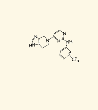 FC(F)(F)c1cccc(Nc2nccc(N3CCc4[nH]cnc4C3)n2)c1